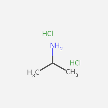 CC(C)N.Cl.Cl